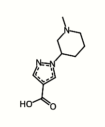 CN1CCCC(n2cc(C(=O)O)cn2)C1